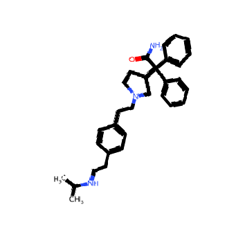 CC(C)NCCc1ccc(CCN2CCC(C(C(N)=O)(c3ccccc3)c3ccccc3)C2)cc1